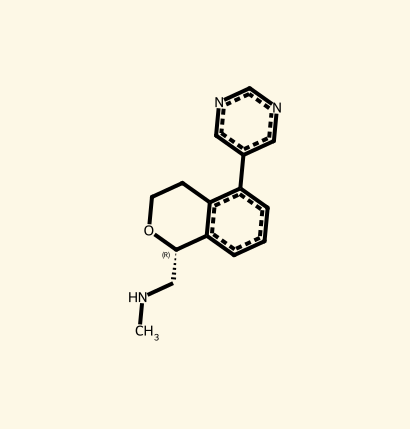 CNC[C@@H]1OCCc2c(-c3cncnc3)cccc21